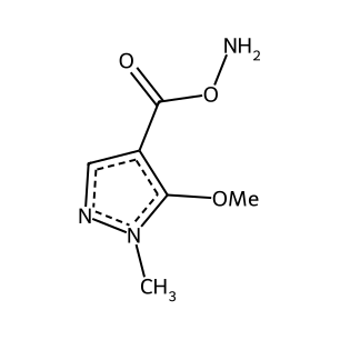 COc1c(C(=O)ON)cnn1C